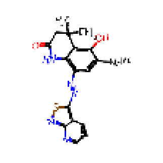 CC(=O)Nc1cc(/N=N/c2snc3ncccc23)c2c(c1O)C(C)(C)CC(=O)N2